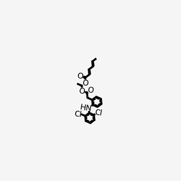 CC=CC=CC(=O)OC(C)OC(=O)Cc1ccccc1Nc1c(Cl)cccc1Cl